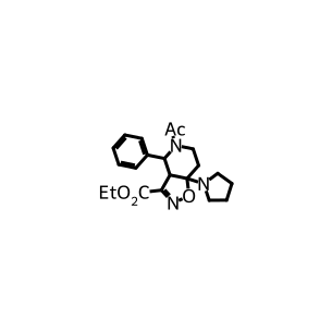 CCOC(=O)C1=NOC2(N3CCCC3)CCN(C(C)=O)C(c3ccccc3)C12